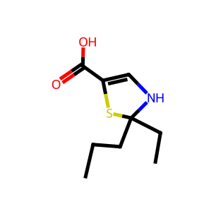 CCCC1(CC)NC=C(C(=O)O)S1